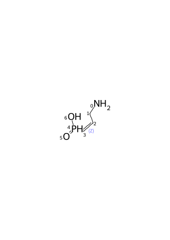 NC/C=C\[PH](=O)O